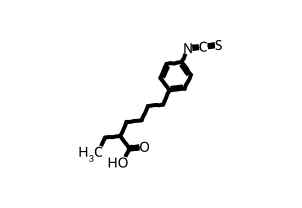 CCC(CCCCc1ccc(N=C=S)cc1)C(=O)O